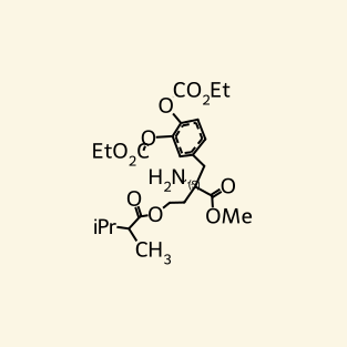 CCOC(=O)Oc1ccc(C[C@](N)(CCOC(=O)C(C)C(C)C)C(=O)OC)cc1OC(=O)OCC